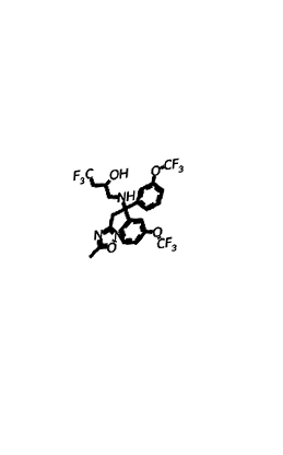 Cc1nc(CC(NCC(O)CC(F)(F)F)(c2cccc(OC(F)(F)F)c2)c2cccc(OC(F)(F)F)c2)no1